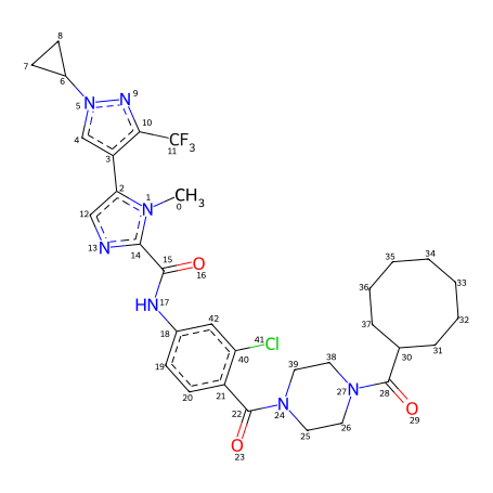 Cn1c(-c2cn(C3CC3)nc2C(F)(F)F)cnc1C(=O)Nc1ccc(C(=O)N2CCN(C(=O)C3CCCCCCC3)CC2)c(Cl)c1